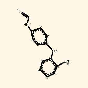 O=CNc1ccc(Oc2ccccc2O)cc1